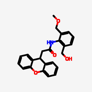 COCc1cccc(CO)c1NC(=O)CC1c2ccccc2Oc2ccccc21